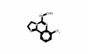 O=CNC1=Nc2c(cccc2C(F)(F)F)C2=NCCN12